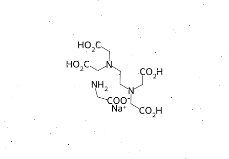 NCC(=O)[O-].O=C(O)CN(CCN(CC(=O)O)CC(=O)O)CC(=O)O.[Na+]